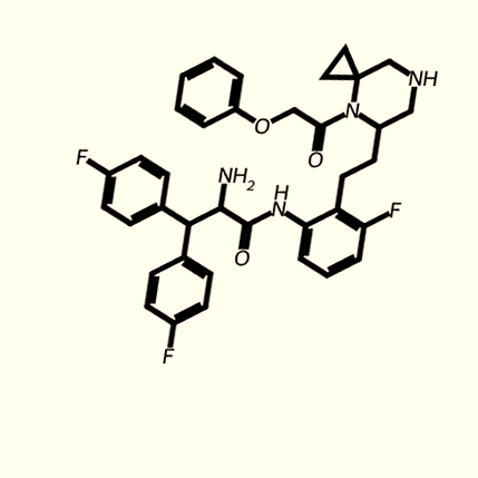 NC(C(=O)Nc1cccc(F)c1CCC1CNCC2(CC2)N1C(=O)COc1ccccc1)C(c1ccc(F)cc1)c1ccc(F)cc1